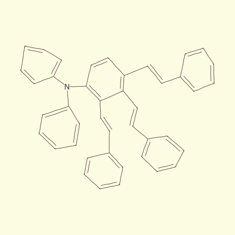 C(=Cc1ccc(N(c2ccccc2)c2ccccc2)c(C=Cc2ccccc2)c1C=Cc1ccccc1)c1ccccc1